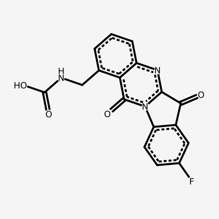 O=C(O)NCc1cccc2nc3n(c(=O)c12)-c1ccc(F)cc1C3=O